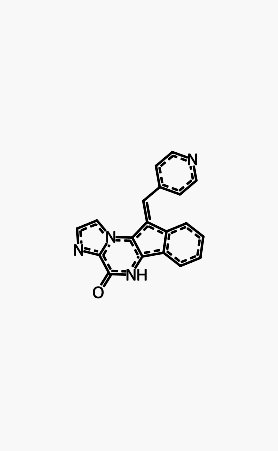 O=c1[nH]c2c3ccccc3c(=Cc3ccncc3)c2n2ccnc12